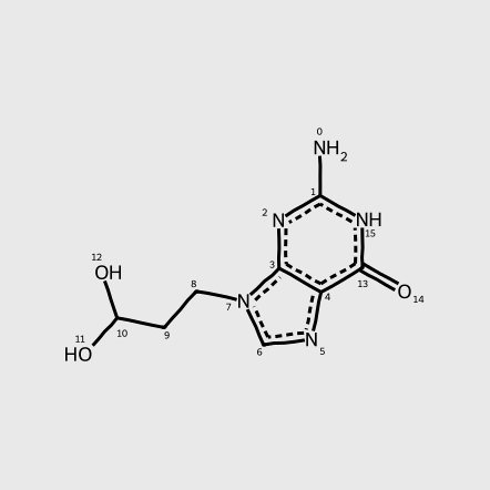 Nc1nc2c(ncn2CCC(O)O)c(=O)[nH]1